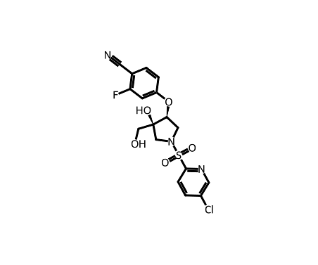 N#Cc1ccc(O[C@H]2CN(S(=O)(=O)c3ccc(Cl)cn3)C[C@]2(O)CO)cc1F